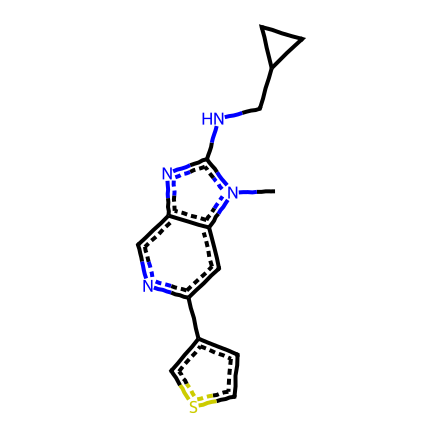 Cn1c(NCC2CC2)nc2cnc(-c3ccsc3)cc21